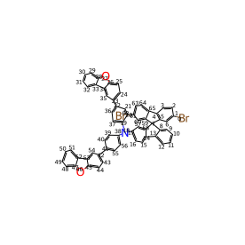 Brc1ccc2c(c1)C1(c3ccccc3-c3ccc(N(c4ccc(-c5ccc6oc7ccccc7c6c5)cc4)c4ccc(-c5ccc6oc7ccccc7c6c5)cc4)cc31)c1cc(Br)ccc1-2